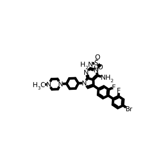 CN1CCN(C2CCC(n3cc(-c4ccc(-c5ccc(Br)cc5F)c(F)c4)c4c(N)ncnc43)CC2)CC1.N[SH](=O)=O